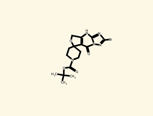 CC(C)(C)OC(=O)N1CCC2(CC1)OCc1[nH]c3nc(Br)nn3c(=O)c12